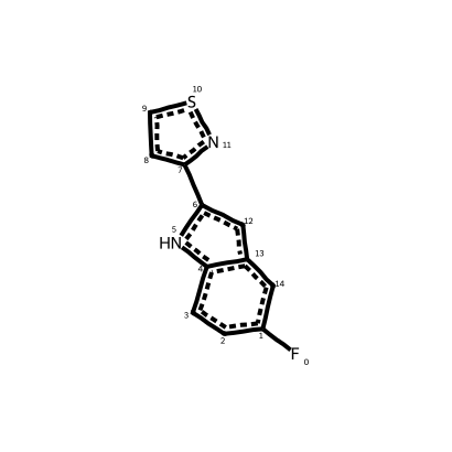 Fc1ccc2[nH]c(-c3ccsn3)cc2c1